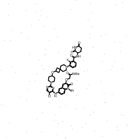 CNC(=O)COc1cc2cc(Nc3nc(N4CCC(OC5CC6(CCN(c7cccc(C(=O)NC8CCC(=O)NC8=O)c7F)CC6)C5)CC4)ncc3Cl)ccc2n(C(C)C)c1=O